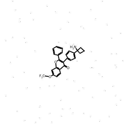 NC1(c2ccc(-c3c(-c4ccccc4)oc4cc(OC(F)(F)F)ccc4c3=O)cc2)CCC1